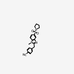 Cn1c(Cc2ccc(C#N)cc2)nc2cc(S(=O)(=O)N3CCCC3)ccc21